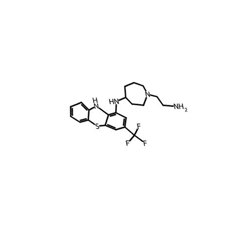 NCCN1CCCC(Nc2cc(C(F)(F)F)cc3c2Nc2ccccc2S3)CC1